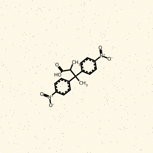 CC(C(=O)O)C(C)(c1ccc([N+](=O)[O-])cc1)c1ccc([N+](=O)[O-])cc1